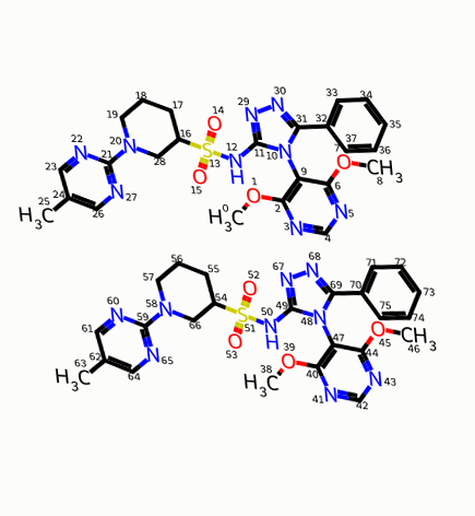 COc1ncnc(OC)c1-n1c(NS(=O)(=O)C2CCCN(c3ncc(C)cn3)C2)nnc1-c1ccccc1.COc1ncnc(OC)c1-n1c(NS(=O)(=O)C2CCCN(c3ncc(C)cn3)C2)nnc1-c1ccccc1